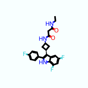 CCNC(=O)CC(=O)N[C@H]1C[C@@H](c2c(-c3ccc(F)cc3)[nH]c3c(F)cc(F)cc32)C1